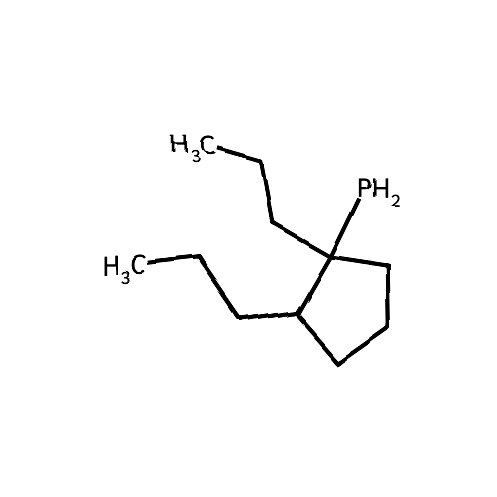 CCCC1CCCC1(P)CCC